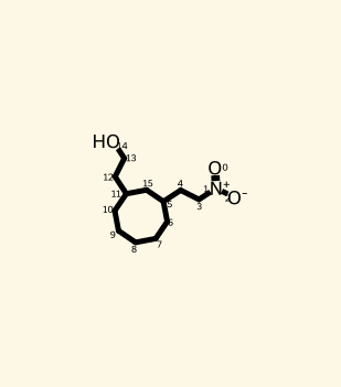 O=[N+]([O-])CCC1CCCCCC(CCO)C1